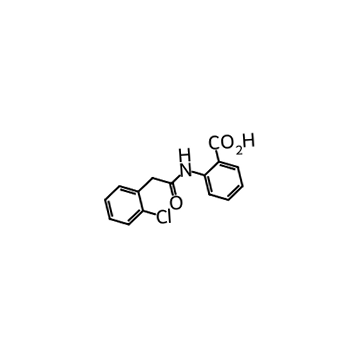 O=C(Cc1ccccc1Cl)Nc1ccccc1C(=O)O